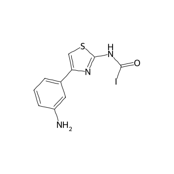 Nc1cccc(-c2csc(NC(=O)I)n2)c1